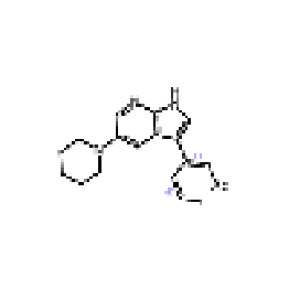 C/C=C\C(=C/C(C)=O)c1c[nH]c2ncc(N3CCCCC3)cc12